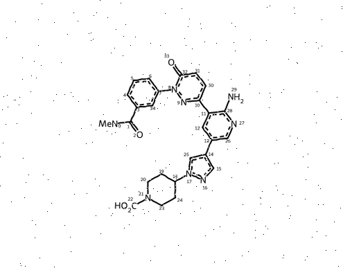 CNC(=O)c1cccc(-n2nc(-c3cc(-c4cnn(C5CCN(C(=O)O)CC5)c4)cnc3N)ccc2=O)c1